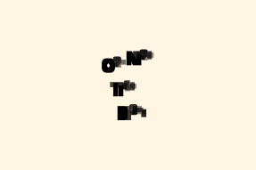 [Bi+3].[Ni+2].[O-2].[Ti+4]